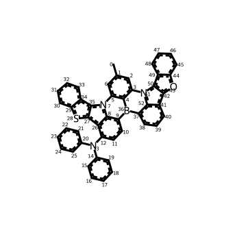 Cc1cc2c3c(c1)-n1c4c(ccc(N(c5ccccc5)c5ccccc5)c4c4sc5ccccc5c41)B3c1cccc3c4oc5ccccc5c4n-2c13